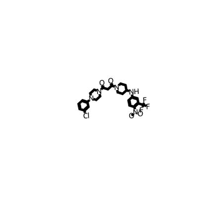 O=C(CC(=O)N1CCN(c2cccc(Cl)c2)CC1)N1CCC(Nc2ccc([N+](=O)[O-])c(C(F)(F)F)c2)CC1